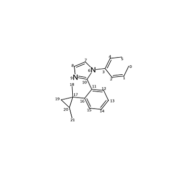 C/C=C\C(=C/C)n1ccnc1-c1ccccc1C1(C)CC1C